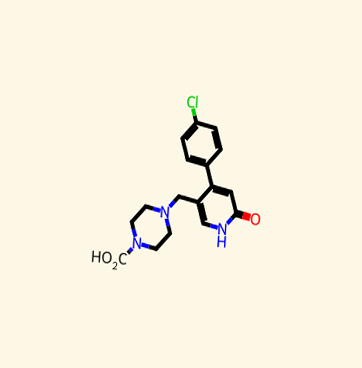 O=C(O)N1CCN(Cc2c[nH]c(=O)cc2-c2ccc(Cl)cc2)CC1